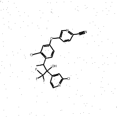 CC(c1ccc(Oc2ccc(C#N)nc2)cc1Cl)C(O)(c1ccnc(Cl)c1)C(F)(F)F